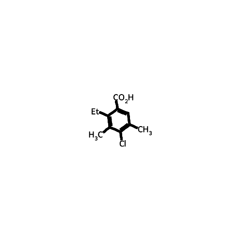 CCc1c(C(=O)O)cc(C)c(Cl)c1C